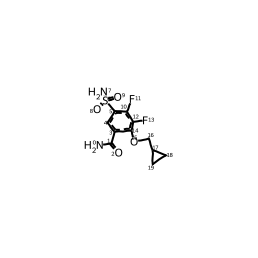 NC(=O)c1cc(S(N)(=O)=O)c(F)c(F)c1OCC1CC1